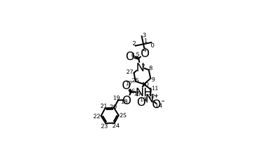 CC(C)(C)OC(=O)N1CCC(C[N+](=O)[O-])(NC(=O)OCc2ccccc2)CC1